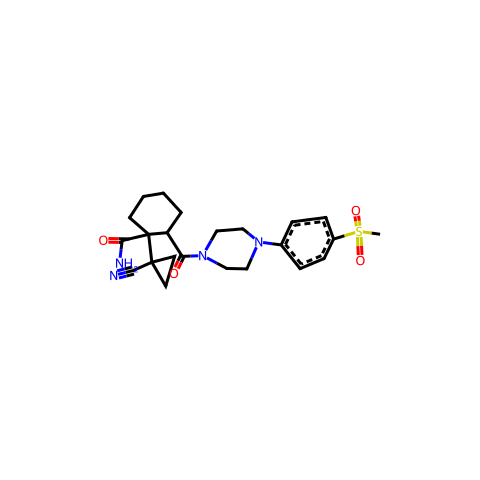 CS(=O)(=O)c1ccc(N2CCN(C(=O)C3CCCCC3(C(N)=O)C3(C#N)CC3)CC2)cc1